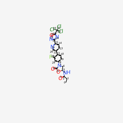 CCC(=O)NC1CN(c2ccc(-c3ccc(-c4noc(C(Cl)(Cl)Cl)n4)nc3)c(F)c2)C(=O)O1